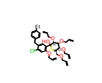 C=CCOC[C@H]1SC(O)(c2cc(Cc3ccc(CC)cc3)c(Cl)cc2OCC=C)[C@H](OCC=C)[C@@H](OCC=C)[C@@H]1OCC=C